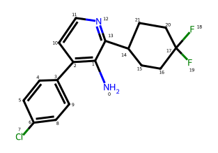 Nc1c(-c2ccc(Cl)cc2)ccnc1C1CCC(F)(F)CC1